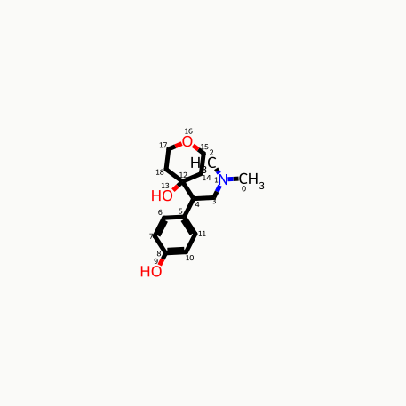 CN(C)CC(c1ccc(O)cc1)C1(O)CCOCC1